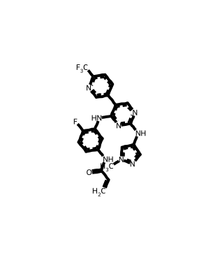 C=CC(=O)Nc1ccc(F)c(Nc2nc(Nc3cnn(C)c3)ncc2-c2ccc(C(F)(F)F)nc2)c1